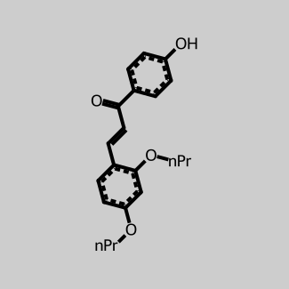 CCCOc1ccc(C=CC(=O)c2ccc(O)cc2)c(OCCC)c1